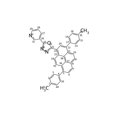 Cc1ccc(-c2ccc3ccc4c(-c5ccc(C)cc5)cc(-c5nnc(-c6cccnc6)o5)c5ccc2c3c45)cc1